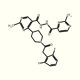 Cc1ncc(C(=O)NNC(=O)c2ccnc(C(F)(F)F)n2)c(C2CCN(C(=O)Cc3c(F)cccc3F)CC2)n1